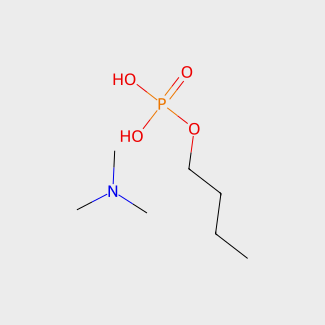 CCCCOP(=O)(O)O.CN(C)C